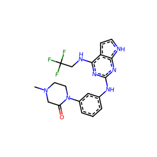 CN1CCN(c2cccc(Nc3nc(NCC(F)(F)F)c4cc[nH]c4n3)c2)C(=O)C1